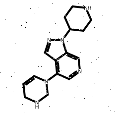 C1=CN(c2cncc3c2cnn3C2CCNCC2)CNC1